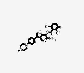 C[C@@H](Oc1c(N)ncc2c(-c3ccc(N4CCN(C)CC4)cc3)coc12)c1c(Cl)ccc(F)c1Cl